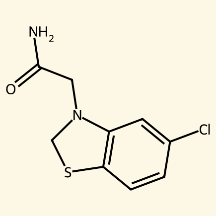 NC(=O)CN1CSc2ccc(Cl)cc21